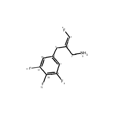 NC/C(=C/F)Cc1cc(F)c(F)c(F)c1